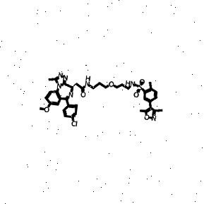 COc1ccc2c(c1)C(c1ccc(Cl)cc1)=N[C@@H](CC(=O)NCCCOCCCNS(=O)(=O)c1cc(-c3c(C)noc3C)ccc1C)c1nnc(C)n1-2